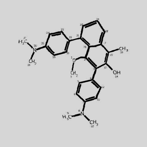 COc1c(-c2ccc(N(C)C)cc2)c(O)c(C)c2cccc(-c3ccc(N(C)C)cc3)c12